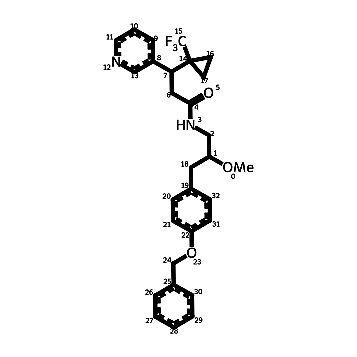 COC(CNC(=O)CC(c1cccnc1)C1(C(F)(F)F)CC1)Cc1ccc(OCc2ccccc2)cc1